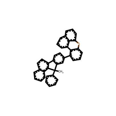 CC1(c2ccccc2)c2cc(-c3cccc4c3-c3cccc5cccc(c35)S4)ccc2-c2ccc3ccccc3c21